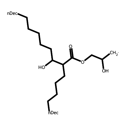 [CH2]C(O)COC(=O)C(CCCCCCCCCCCCCC)C(O)CCCCCCCCCCCCCCC